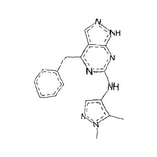 Cc1c(Nc2nc(Cc3ccccc3)c3cn[nH]c3n2)cnn1C